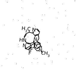 CC1/C=C\Nc2nc3c(F)cc2/C(N2CCN(C)CC2)=N\c2c(ccnc21)Cc1cccc(F)c1-3